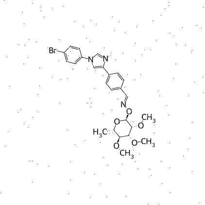 CO[C@@H]1[C@@H](OC)[C@H](C)O[C@@H](O/N=C/c2ccc(-c3cn(-c4ccc(Br)cc4)cn3)cc2)[C@@H]1OC